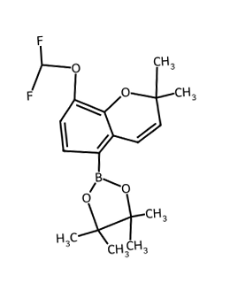 CC1(C)C=Cc2c(B3OC(C)(C)C(C)(C)O3)ccc(OC(F)F)c2O1